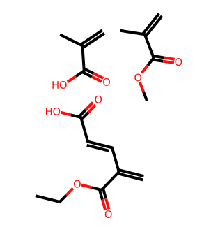 C=C(C)C(=O)O.C=C(C)C(=O)OC.C=C(C=CC(=O)O)C(=O)OCC